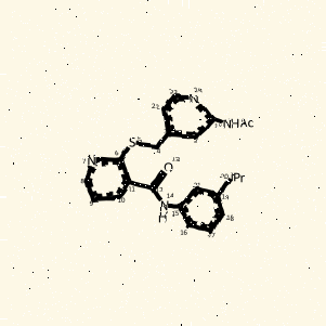 CC(=O)Nc1cc(CSc2ncccc2C(=O)Nc2cccc(C(C)C)c2)ccn1